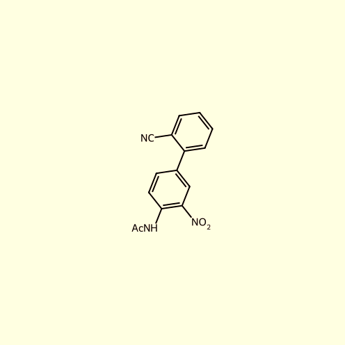 CC(=O)Nc1ccc(-c2ccccc2C#N)cc1[N+](=O)[O-]